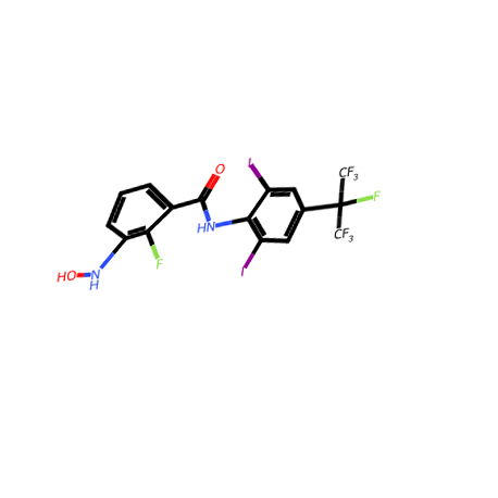 O=C(Nc1c(I)cc(C(F)(C(F)(F)F)C(F)(F)F)cc1I)c1cccc(NO)c1F